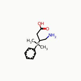 C[Si](C)(c1ccccc1)C(CN)CC(=O)O